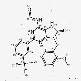 COc1ccccc1Cn1c(=O)[nH]c2c(N[C]=O)nc(-c3cccc(C(F)(F)F)c3)nc21